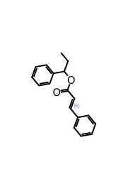 CCC(OC(=O)/C=C/c1ccccc1)c1ccccc1